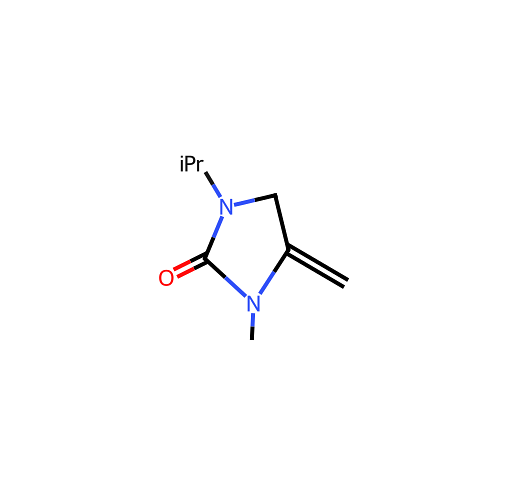 C=C1CN(C(C)C)C(=O)N1C